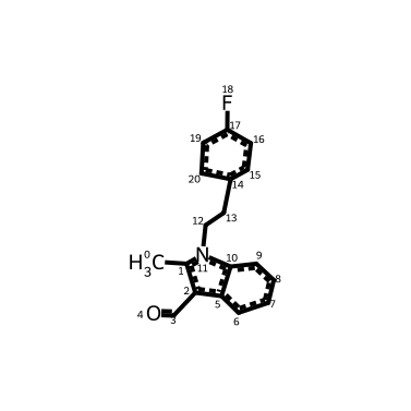 Cc1c(C=O)c2ccccc2n1CCc1ccc(F)cc1